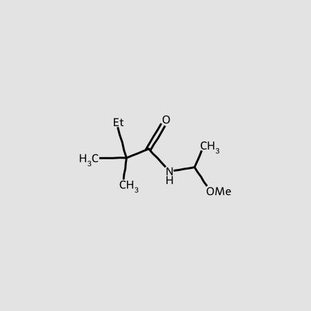 CCC(C)(C)C(=O)NC(C)OC